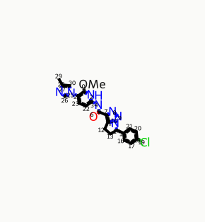 COc1nc(NC(=O)c2nnn3c2CCC3c2ccc(Cl)cc2)ccc1-n1cnc(C)c1